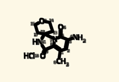 Cc1cc(N)c(=O)n2c1C(=O)NC21CCOCC1.Cl